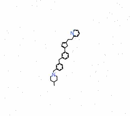 CC1CCN(Cc2cccc(Cc3cccc(C4=CC=C(CCc5ccccn5)C4)c3)c2)CC1